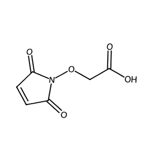 O=C(O)CON1C(=O)C=CC1=O